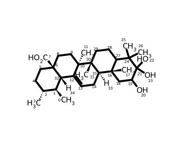 C[C@H]1[C@H](C)CC[C@]2(C(=O)O)CC[C@]3(C)C(=CC[C@@H]4[C@@]5(C)CC(O)C(O)(O)C(C)(C)C5CC[C@]43C)[C@H]12